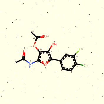 CC(=O)Nc1oc(-c2ccc(Cl)c(F)c2)c(O)c1OC(C)=O